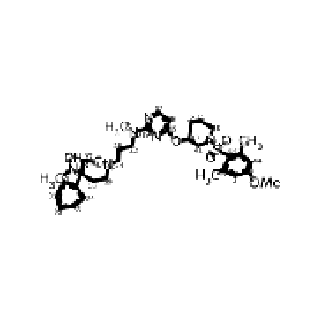 COc1cc(C)c(S(=O)(=O)N2CCCC(Oc3ccnc(N(C)CCCN4CCC(c5ccccc5)(N(C)C)CC4)n3)C2)c(C)c1